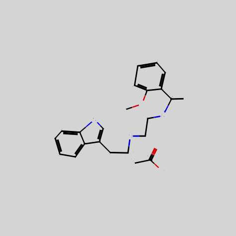 COc1ccccc1C(C)NCCN[C@H](CC(=O)O)Cc1c[nH]c2ccccc12